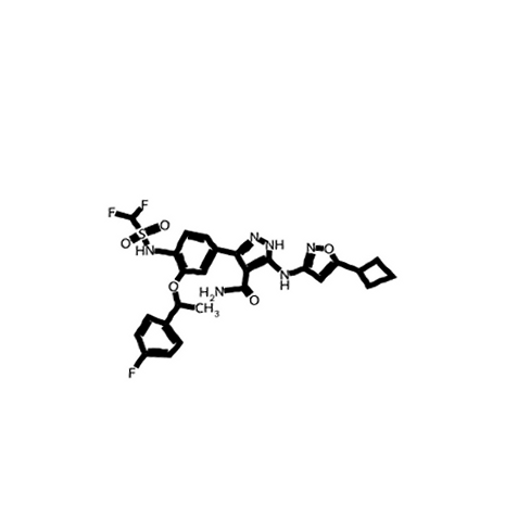 CC(Oc1cc(-c2n[nH]c(Nc3cc(C4CCC4)on3)c2C(N)=O)ccc1NS(=O)(=O)C(F)F)c1ccc(F)cc1